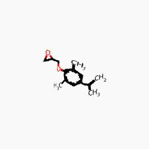 C=C(C)c1cc(C)c(OCC2CO2)c(C)c1